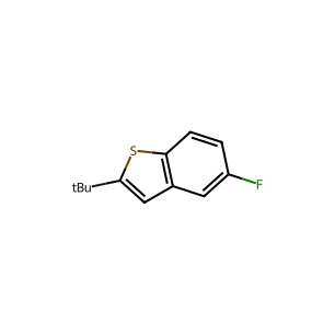 CC(C)(C)c1cc2cc(F)ccc2s1